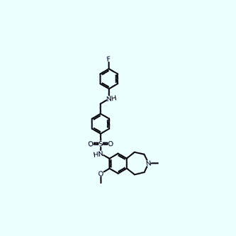 COc1cc2c(cc1NS(=O)(=O)c1ccc(CNc3ccc(F)cc3)cc1)CCN(C)CC2